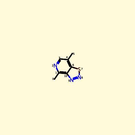 Cc1ncc(C)c2snnc12